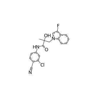 CC(O)(Cn1cc(F)c2ccccc21)C(=O)Nc1ccc(C#N)c(Cl)c1